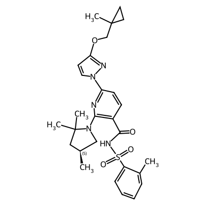 Cc1ccccc1S(=O)(=O)NC(=O)c1ccc(-n2ccc(OCC3(C)CC3)n2)nc1N1C[C@@H](C)CC1(C)C